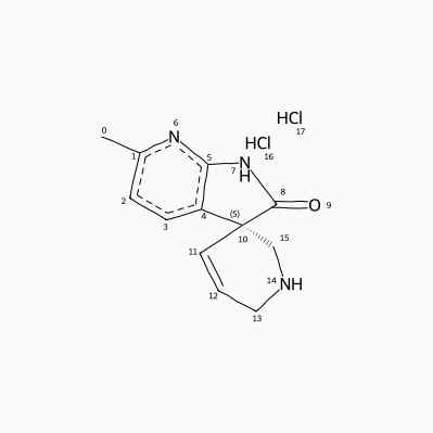 Cc1ccc2c(n1)NC(=O)[C@@]21C=CCNC1.Cl.Cl